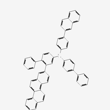 c1ccc(-c2ccc(N(c3ccc(-c4ccc5ccccc5c4)cc3)c3ccc(-c4ccccc4)c(-c4ccc5c(ccc6c7ccccc7ccc56)c4)c3)cc2)cc1